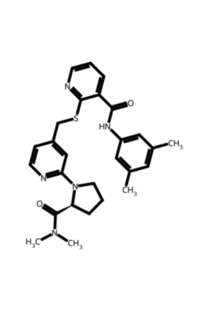 Cc1cc(C)cc(NC(=O)c2cccnc2SCc2ccnc(N3CCC[C@H]3C(=O)N(C)C)c2)c1